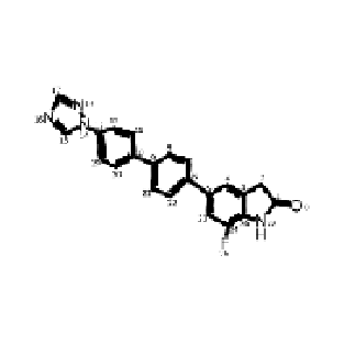 O=C1Cc2cc(-c3ccc(-c4ccc(-n5cncn5)cc4)cc3)cc(F)c2N1